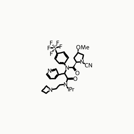 CO[C@@H]1C[C@H](C(=O)N(c2ccc(S(F)(F)(F)(F)F)cc2)C(C(=O)N(CCN2CCC2)C(C)C)c2cccnc2)N(C#N)C1